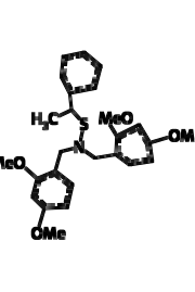 COc1ccc(CN(Cc2ccc(OC)cc2OC)SC(C)c2ccccc2)c(OC)c1